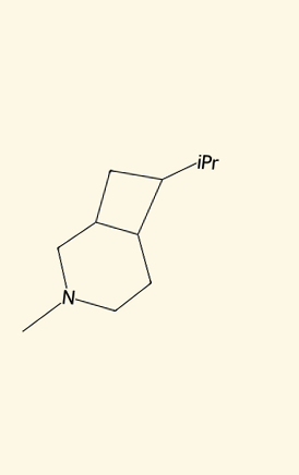 CC(C)C1CC2CN(C)CCC21